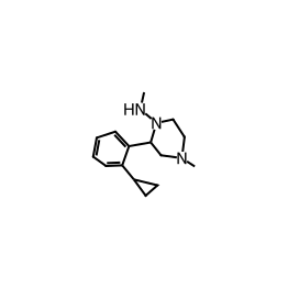 CNN1CCN(C)CC1c1ccccc1C1CC1